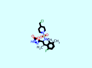 Cc1ccc(F)c([C@H](C)[C@H](NS(=O)(=O)N2CCC(CCl)CC2)c2n[nH]c(=O)o2)c1C